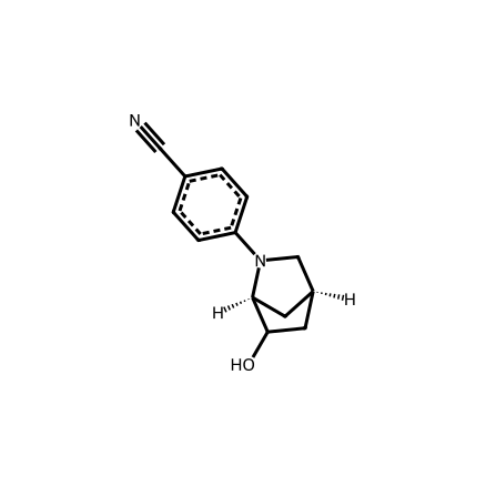 N#Cc1ccc(N2C[C@H]3CC(O)[C@@H]2C3)cc1